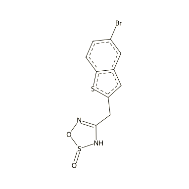 O=S1NC(Cc2cc3cc(Br)ccc3s2)=NO1